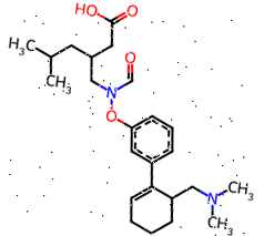 CC(C)CC(CC(=O)O)CN(C=O)Oc1cccc(C2=CCCCC2CN(C)C)c1